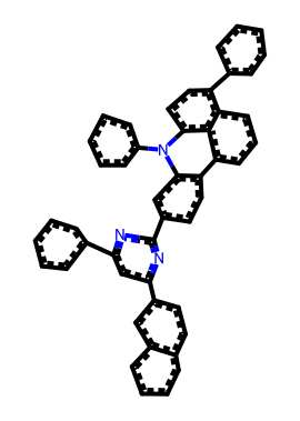 c1ccc(-c2cc(-c3ccc4ccccc4c3)nc(-c3ccc4c(c3)N(c3ccccc3)c3ccc(-c5ccccc5)c5cccc-4c35)n2)cc1